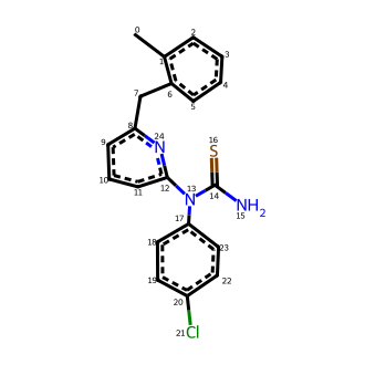 Cc1ccccc1Cc1cccc(N(C(N)=S)c2ccc(Cl)cc2)n1